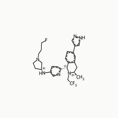 C[C@@H]1Cc2cc(-c3cn[nH]c3)ccc2[C@@H](c2ccc(N[C@@H]3CCN(CCCF)C3)cn2)N1CC(F)(F)F